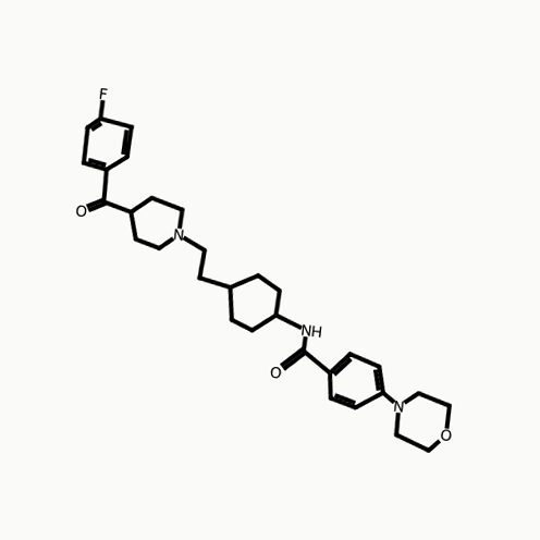 O=C(NC1CCC(CCN2CCC(C(=O)c3ccc(F)cc3)CC2)CC1)c1ccc(N2CCOCC2)cc1